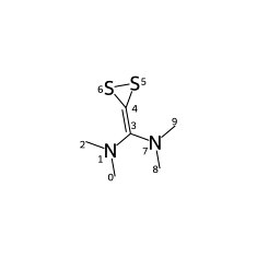 CN(C)C(=C1SS1)N(C)C